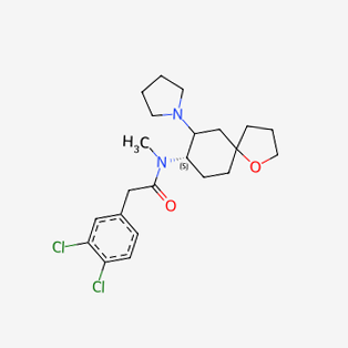 CN(C(=O)Cc1ccc(Cl)c(Cl)c1)[C@H]1CCC2(CCCO2)CC1N1CCCC1